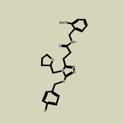 COc1ccccc1CNC(=O)CCc1nnc(SCc2ccc(F)cc2)n1CC1CCCO1